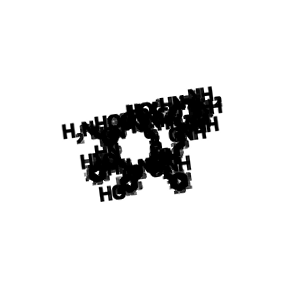 CC(O)C(NC(=O)C1CSSC[C@H](NC(=O)C(Cc2ccccc2)NC(=O)CCCC(=O)N[C@]23CNCCNC[C@](N)(CNCCNC2)NCCN3)C(=O)NC(Cc2ccc(O)cc2)C(=O)N[C@H](Cc2c[nH]c3ccccc23)C(=O)NC(CCCCN)C(=O)NC(C(C)O)C(=O)N1)C(=O)O